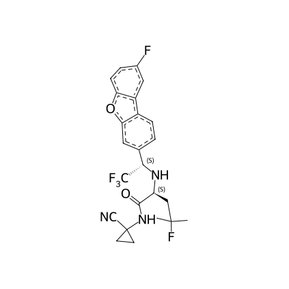 CC(C)(F)C[C@H](N[C@@H](c1ccc2c(c1)oc1ccc(F)cc12)C(F)(F)F)C(=O)NC1(C#N)CC1